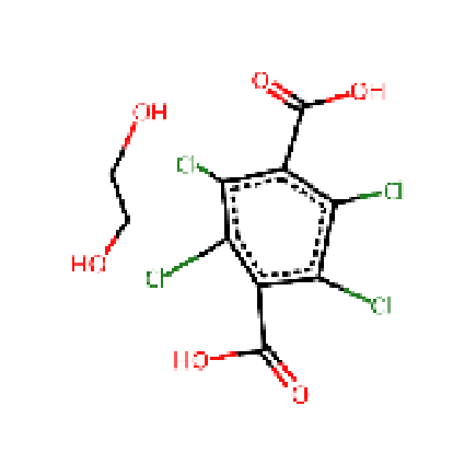 O=C(O)c1c(Cl)c(Cl)c(C(=O)O)c(Cl)c1Cl.OCCO